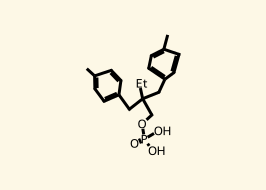 CCC(COP(=O)(O)O)(Cc1ccc(C)cc1)Cc1ccc(C)cc1